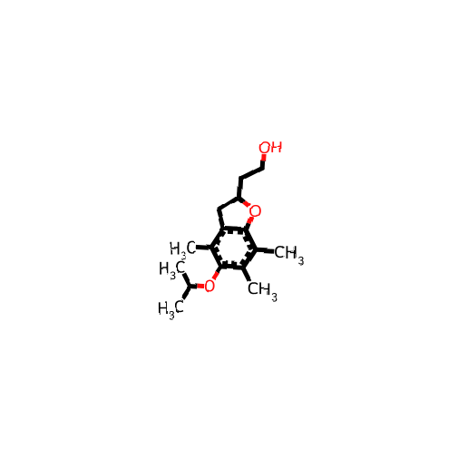 Cc1c(C)c2c(c(C)c1OC(C)C)CC(CCO)O2